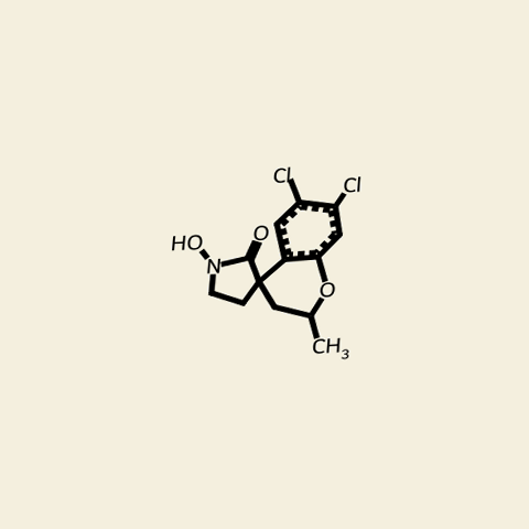 CC1CC2(CCN(O)C2=O)c2cc(Cl)c(Cl)cc2O1